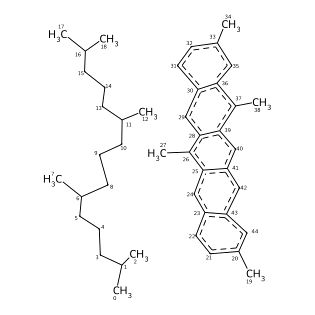 CC(C)CCCC(C)CCCC(C)CCCC(C)C.Cc1ccc2cc3c(C)c4cc5ccc(C)cc5c(C)c4cc3cc2c1